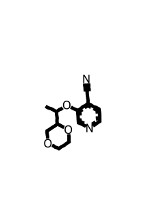 CC(Oc1cnccc1C#N)C1COCCO1